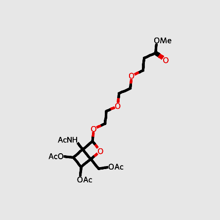 COC(=O)CCOCCOCCOC1OC2(COC(C)=O)C(OC(C)=O)C(OC(C)=O)C12NC(C)=O